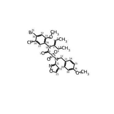 C/C=C(\CC)N(C(=O)S(=O)(=O)N(Cc1ccc(OC)cc1)c1ccon1)c1cc(Cl)c(Br)cc1OC